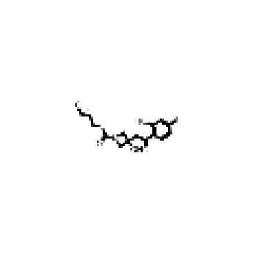 CCCCOC(=O)N1CC(O)(CC(=O)c2ccc(F)cc2O)C1